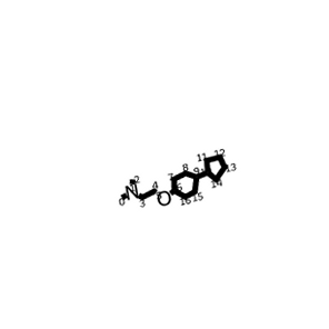 CN(C)CCOC1CCC(C2CCCC2)CC1